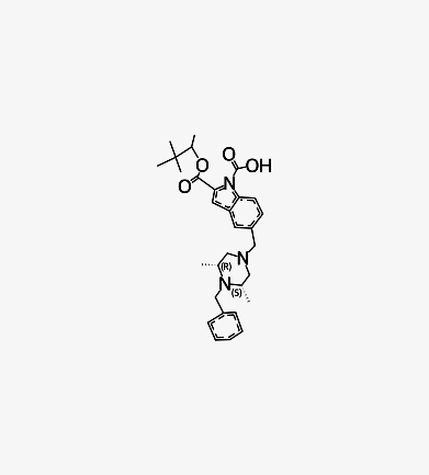 CC(OC(=O)c1cc2cc(CN3C[C@@H](C)N(Cc4ccccc4)[C@@H](C)C3)ccc2n1C(=O)O)C(C)(C)C